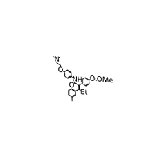 CCC(=C(C(=O)Nc1ccc(OCCN(C)C)cc1)c1ccc(OCOC)cc1)c1cccc(C)c1